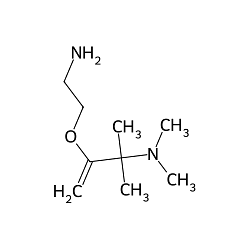 C=C(OCCN)C(C)(C)N(C)C